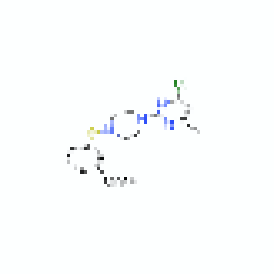 COc1cccc(SN2CCN(c3nc(C)cc(Cl)n3)CC2)c1